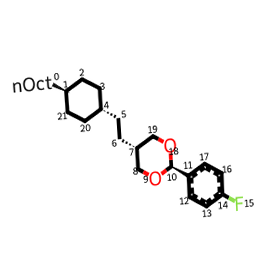 CCCCCCCC[C@H]1CC[C@H](CC[C@H]2CO[C@H](c3ccc(F)cc3)OC2)CC1